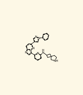 c1ccc(-n2cc(-c3ccc4ncc(-c5cccc(NC6CC7(CCNC7)C6)n5)n4n3)cn2)cc1